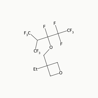 CCC1(COC(F)(C(C(F)(F)F)C(F)(F)F)C(F)(F)C(F)(F)F)COC1